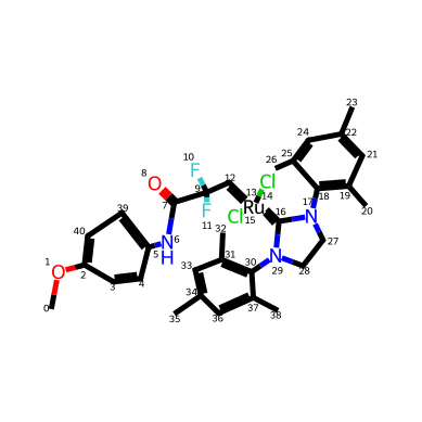 COc1ccc(NC(=O)C(F)(F)[CH]=[Ru]([Cl])([Cl])=[C]2N(c3c(C)cc(C)cc3C)CCN2c2c(C)cc(C)cc2C)cc1